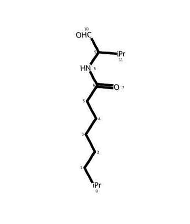 CC(C)CCCCCC(=O)NC(C=O)C(C)C